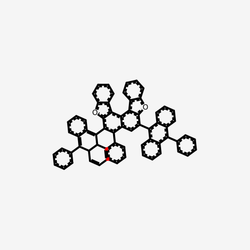 C1=CC2C(c3ccccc3)=c3ccccc3=C(c3c(-c4ccccc4)c4cc(-c5c6ccccc6c(-c6ccccc6)c6ccccc56)c5oc6ccccc6c5c4c4c3oc3ccccc34)C2C=C1